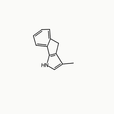 Cc1c[nH]c2c1Cc1ccccc1-2